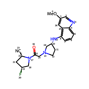 COc1cnc2cccc(N[C@@H]3CCN(CC(=O)N4C[C@@H](F)C[C@H]4C#N)C3)c2c1